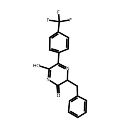 O=C1N=C(O)C(c2ccc(C(F)(F)F)cc2)=NC1Cc1ccccc1